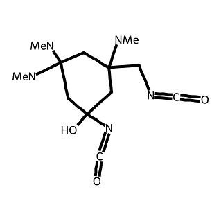 CNC1(CN=C=O)CC(O)(N=C=O)CC(NC)(NC)C1